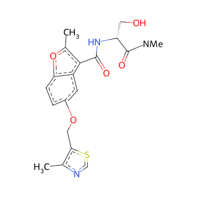 CNC(=O)[C@@H](CO)NC(=O)c1c(C)oc2ccc(OCc3scnc3C)cc12